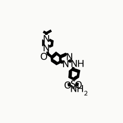 CC(C)N1CCN(C(=O)c2ccc3nc(Nc4ccc(S(N)(=O)=O)cc4)ncc3c2)CC1